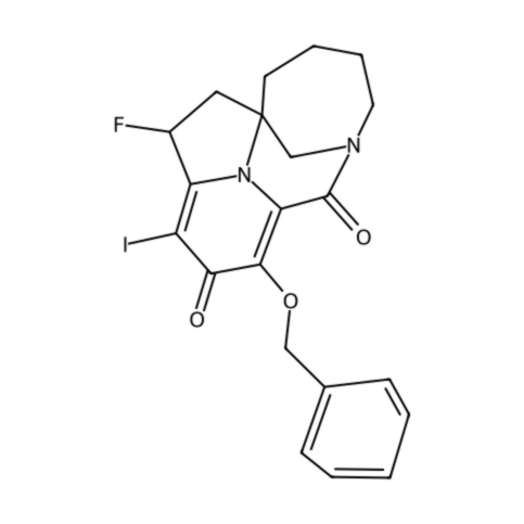 O=C1c2c(OCc3ccccc3)c(=O)c(I)c3n2C2(CCCCN1C2)CC3F